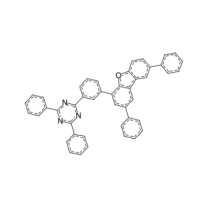 c1ccc(-c2ccc3oc4c(-c5cccc(-c6nc(-c7ccccc7)nc(-c7ccccc7)n6)c5)cc(-c5ccccc5)cc4c3c2)cc1